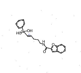 O=C(NCCC/C=C/[Si](O)(O)c1ccccc1)c1cc2ccccc2o1